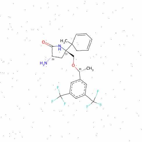 C[C@@H](OC[C@@]1(C2(C)C=CC=CC2)C[C@H](N)C(=O)N1)c1cc(C(F)(F)F)cc(C(F)(F)F)c1